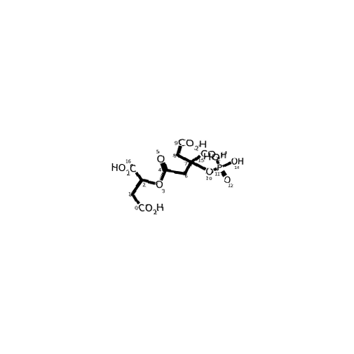 O=C(O)CC(OC(=O)CC(CC(=O)O)(OP(=O)(O)O)C(=O)O)C(=O)O